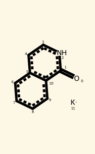 O=c1[nH]ccc2ccccc12.[K]